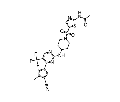 CC(=O)Nc1ncc(S(=O)(=O)N2CCC(Nc3ncc(C(F)(F)F)c(-c4cc(C#N)c(C)s4)n3)CC2)s1